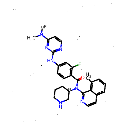 CCCN(C)c1ccnc(Nc2ccc(C(=O)N(c3nccc4cccc(C)c34)[C@@H]3CCCNC3)c(F)c2)n1